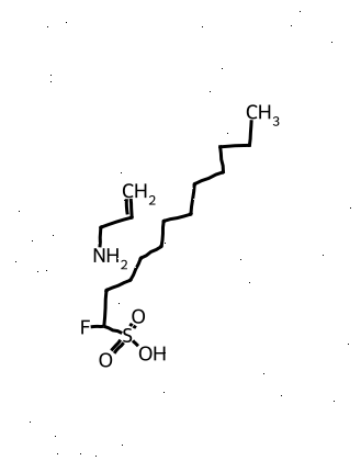 C=CCN.CCCCCCCCCCCC(F)S(=O)(=O)O